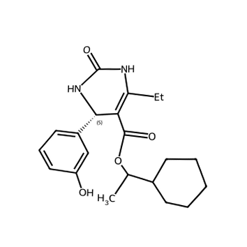 CCC1=C(C(=O)OC(C)C2CCCCC2)[C@H](c2cccc(O)c2)NC(=O)N1